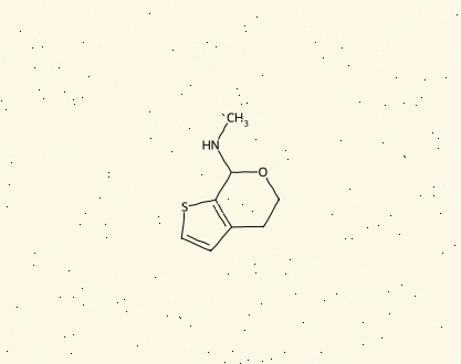 CNC1OCCc2ccsc21